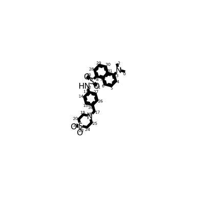 CN(C)c1cccc2c(S(=O)(=O)Nc3ccc(CN4CCS(=O)(=O)CC4)cc3)cccc12